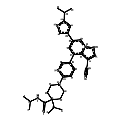 CC(C)NC(=O)C1(C(C)C)CCN(c2ccc(-c3cc(-c4cnn(C(C)C)c4)cn4ncc(C#N)c34)cn2)CC1